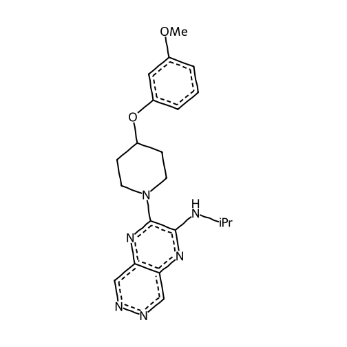 COc1cccc(OC2CCN(c3nc4cnncc4nc3NC(C)C)CC2)c1